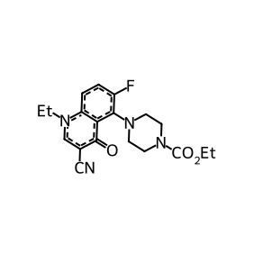 CCOC(=O)N1CCN(c2c(F)ccc3c2c(=O)c(C#N)cn3CC)CC1